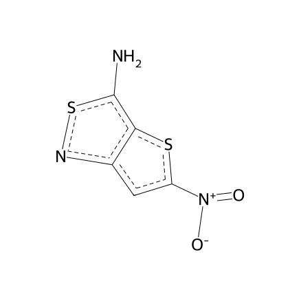 Nc1snc2cc([N+](=O)[O-])sc12